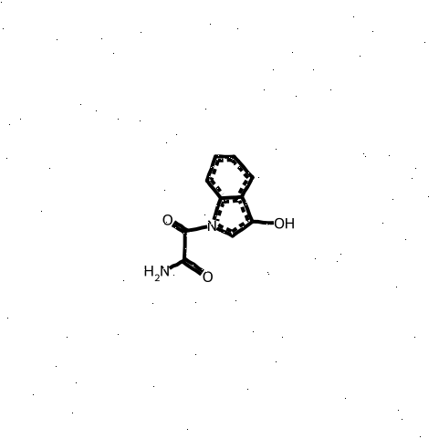 NC(=O)C(=O)n1cc(O)c2ccccc21